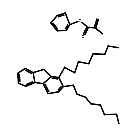 C=C(C)C(=O)Oc1ccccc1.CCCCCCCCc1ccc2c(c1CCCCCCCC)Cc1ccccc1-2